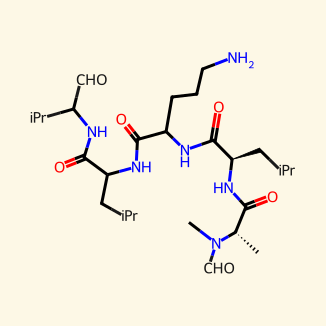 CC(C)CC(NC(=O)C(CCCN)NC(=O)[C@@H](CC(C)C)NC(=O)[C@H](C)N(C)C=O)C(=O)NC(C=O)C(C)C